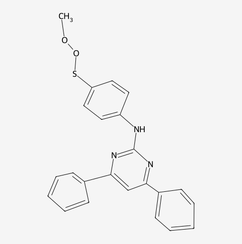 COOSc1ccc(Nc2nc(-c3ccccc3)cc(-c3ccccc3)n2)cc1